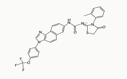 Cc1ccccc1N1C(=O)CS/C1=N\C(=O)Nc1ccc2c(ccc3c2ncn3-c2ccc(OC(F)(F)F)cc2)c1